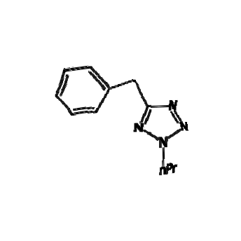 CCCn1nnc(Cc2ccccc2)n1